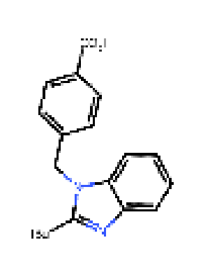 CC(C)(C)c1nc2ccccc2n1Cc1ccc(C(=O)O)cc1